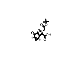 CC(C)(C)OC(=O)Cn1nc2c(c1C(=O)O)[C@H]1C[C@H]1C2=O